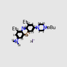 CCCCN1CCN(c2cc(CC)c3nc4c(CC)cc(N(C)C)cc4[s+]c3c2)CC1.[I-]